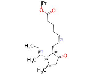 C/C=C(\C)[C@H]1[C@H](C)CC(=O)[C@@H]1C/C=C\CCCC(=O)OC(C)C